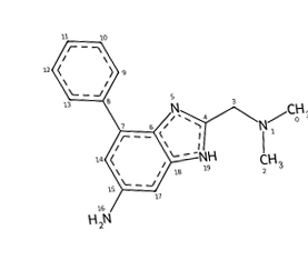 CN(C)Cc1nc2c(-c3ccccc3)cc(N)cc2[nH]1